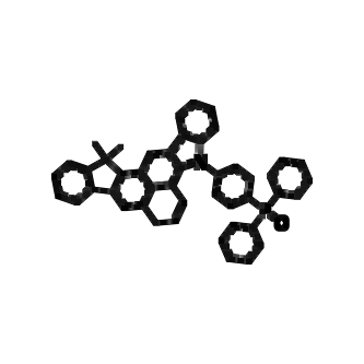 CC1(C)c2ccccc2-c2cc3c4c(c5c(cc4c21)c1ccccc1n5-c1ccc(P(=O)(c2ccccc2)c2ccccc2)cc1)C=CC3